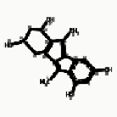 CC1=C2C(=C(C)c3c(O)cc(O)cc32)C2=C1C(O)CC(O)C2